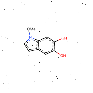 COn1ccc2cc(O)c(O)cc21